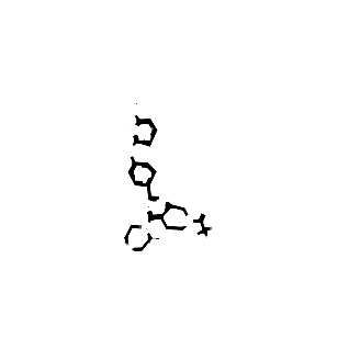 CCCCOc1cccc(Nc2ccc(-c3nc4c(c(N5CCOC[C@@H]5C)n3)CCN(C(=O)C(C)(C)O)C4)cc2)n1